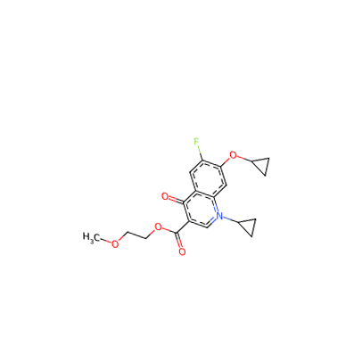 COCCOC(=O)c1cn(C2CC2)c2cc(OC3CC3)c(F)cc2c1=O